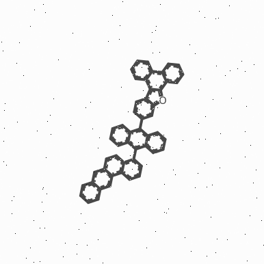 c1ccc2cc3c(ccc4c(-c5c6ccccc6c(-c6ccc7c(c6)oc6c8ccccc8c8ccccc8c76)c6ccccc56)cccc43)cc2c1